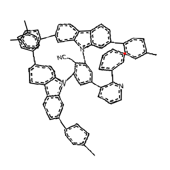 Cc1ccc(-c2ccc3c4ccc(-c5ccc(C)cc5)cc4n(-c4cc(-c5cccnc5-c5ccccc5)cc(-n5c6cc(-c7ccc(C)cc7)ccc6c6ccc(-c7ccc(C)cc7)cc65)c4C#N)c3c2)cc1